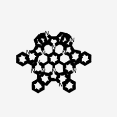 c1ccc(-c2cc(-c3c(-n4c5ccccc5c5ncccc54)c(-c4nc(-c5ccccc5)nc(-c5ccccc5)n4)c(-n4c5ccccc5c5ncccc54)c(-n4c5ccccc5c5ncccc54)c3-n3c4ccccc4c4ncccc43)cc(-c3ccccc3)n2)cc1